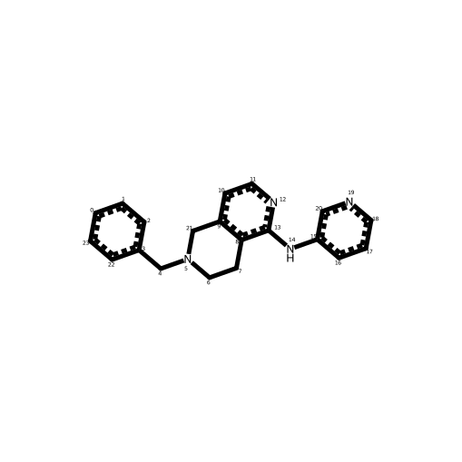 c1ccc(CN2CCc3c(ccnc3Nc3cccnc3)C2)cc1